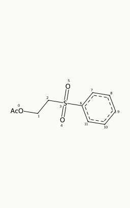 CC(=O)OCCS(=O)(=O)c1cc[c]cc1